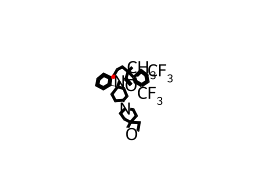 CC1(c2cc(C(F)(F)F)cc(C(F)(F)F)c2)CCCN([C@]2(c3ccccc3)CC[C@@H](N3CCC4(CCOC4)CC3)CC2)C1=O